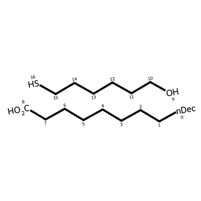 CCCCCCCCCCCCCCCCCC(=O)O.OCCCCCCS